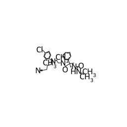 C=C(CN1C(=O)C2(CN(C(=O)NC(C)C)C2)c2ccccc21)N(CCCC#N)c1ccc(Cl)cc1C